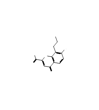 CCCc1c(S)ccc2c(=O)cc(C(=O)O)oc12